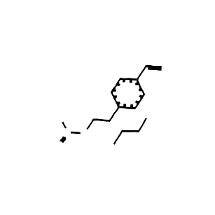 C=Cc1ccc(CCO[PH](=O)O)cc1.CCCC